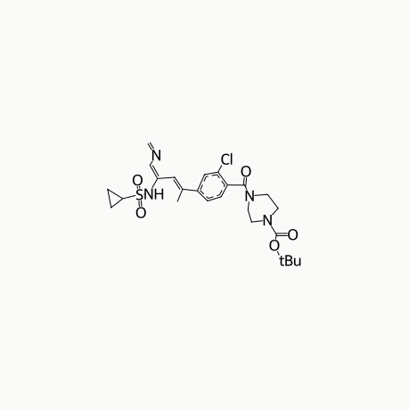 C=N/C=C(\C=C(/C)c1ccc(C(=O)N2CCN(C(=O)OC(C)(C)C)CC2)c(Cl)c1)NS(=O)(=O)C1CC1